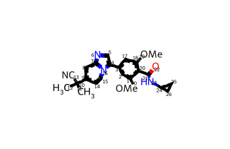 COc1cc(-c2cnc3cc(C(C)(C)C#N)ccn23)cc(OC)c1C(=O)NC1CC1